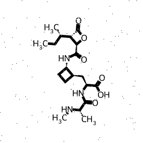 CC[C@H](C)[C@@H]1C(=O)O[C@H]1C(=O)N[C@H]1CC[C@@H]1C[C@H](NC(=O)[C@H](C)NC)C(=O)O